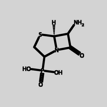 NC1C(=O)N2C(P(=O)(O)O)CS[C@@H]12